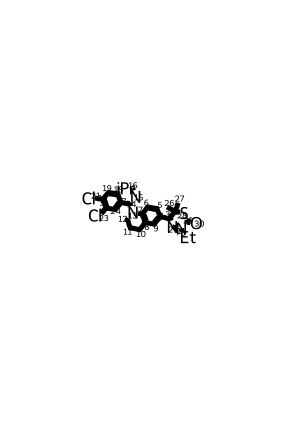 CCN1N=C(c2ccc3c(c2)CCCN3C(=NC(C)C)c2ccc(Cl)c(Cl)c2)C(C)(C)SC1=O